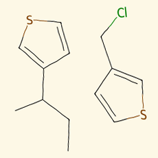 CCC(C)c1ccsc1.ClCc1ccsc1